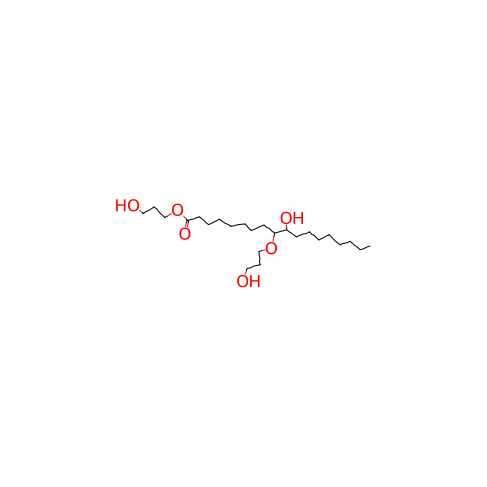 CCCCCCCCC(O)C(CCCCCCCC(=O)OCCCO)OCCCO